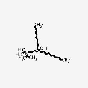 [CH2]CCCCCCCCCC(O)(CCCCCCCCC[CH2])CCCCN(C(C)C)C(C)C